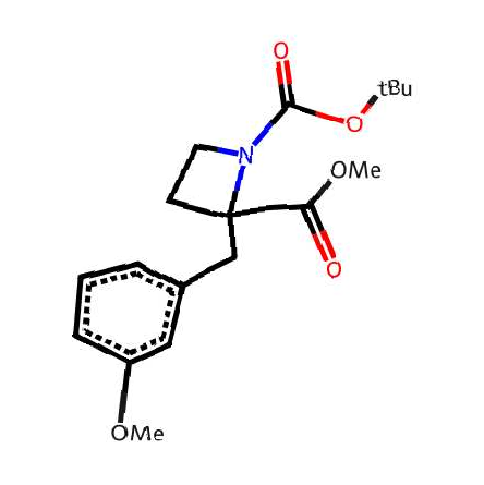 COC(=O)C1(Cc2cccc(OC)c2)CCN1C(=O)OC(C)(C)C